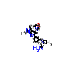 Cc1nn(C(C)C)c2nc(-c3cccc(CN(C)CCN)c3)cc(N3CCOCC3)c12